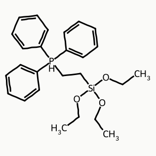 CCO[Si](CC[PH](c1ccccc1)(c1ccccc1)c1ccccc1)(OCC)OCC